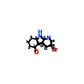 O=C1CCCc2[nH]c3ncc(Br)cc3c21